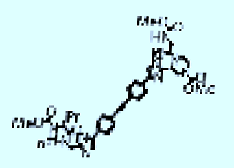 CCCN(Cc1ncc(-c2ccc(C#Cc3ccc(-c4c[nH]c([C@@H]5CN(C(=O)OC)CCN5C(=O)CNC(=O)OC)n4)cc3)cc2)[nH]1)C(=O)[C@@H](NC(=O)OC)C(C)C